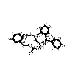 CC(C)CN1CC(NC(=O)OCc2ccccc2)N=C(c2ccccc2)c2ccccc21